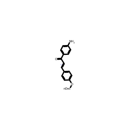 CCCCCCCCCCOc1ccc(/C=C/C(=O)c2ccc(N)cc2)cc1